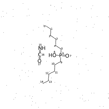 CCCCCCP(=O)(O)CCCCCC.N=C=O